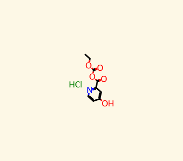 CCOC(=O)OC(=O)c1cc(O)ccn1.Cl